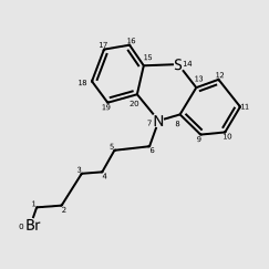 BrCCCCCCN1c2ccccc2Sc2ccccc21